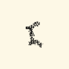 C1=Cc2cc(-c3ccc(N(c4ccccc4)c4ccc(-c5ccc(-c6ccc(N(c7ccccc7)c7ccc(-c8ccc9c(c8)C=CCC9)cc7)cc6)cc5)cc4)cc3)ccc2CC1